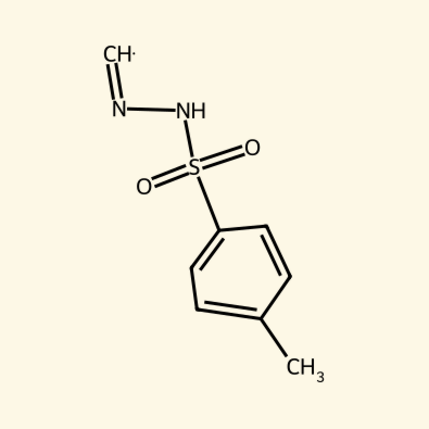 [CH]=NNS(=O)(=O)c1ccc(C)cc1